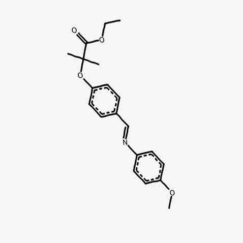 CCOC(=O)C(C)(C)Oc1ccc(C=Nc2ccc(OC)cc2)cc1